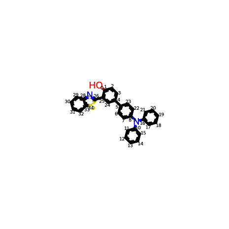 Oc1ccc(-c2ccc(N(c3ccccc3)c3ccccc3)cc2)cc1-c1nc2ccccc2s1